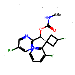 CC(C)(C)NC(=O)OC(c1ncc(Br)cn1)[C@]1(c2ncccc2F)C[C@@H](F)C1